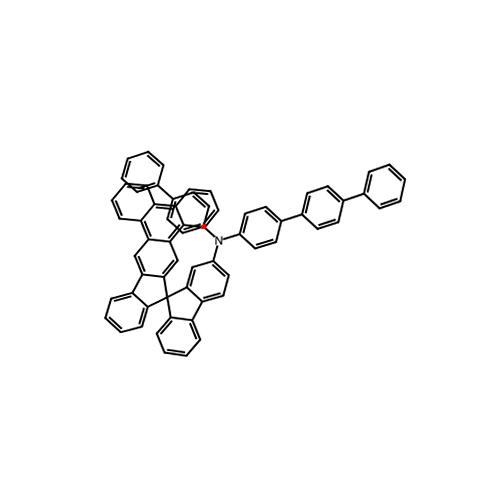 c1ccc(-c2ccc(-c3ccc(N(c4ccc(-c5ccccc5)cc4)c4ccc5c(c4)C4(c6ccccc6-5)c5ccccc5-c5cc6c7ccccc7c7ccccc7c6cc54)cc3)cc2)cc1